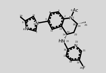 CC(=O)N1c2ccc(-n3cnc(C)c3)cc2[C@@H](Nc2ccc(F)cn2)C[C@H]1C